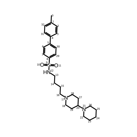 Cc1ccc(-c2ccc(S(=O)(=O)NCCCCN3CCC(N4CCCCC4)CC3)cc2)cc1